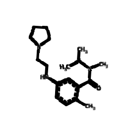 Cc1ccc(NCCN2CCCC2)cc1C(=O)N(C)C(C)C